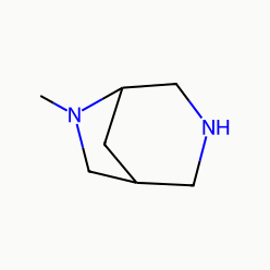 CN1CC2CNCC1C2